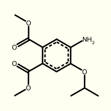 COC(=O)c1cc(N)c(OC(C)C)cc1C(=O)OC